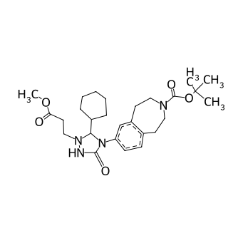 COC(=O)CCN1NC(=O)N(c2ccc3c(c2)CCN(C(=O)OC(C)(C)C)CC3)C1C1CCCCC1